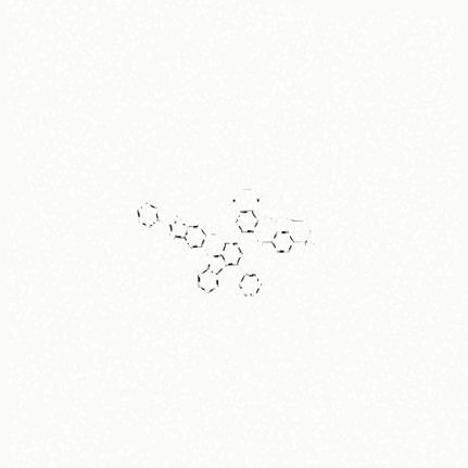 CB1c2cc3nc(-c4ccccc4)n(C)c3cc2-n2c3ccccc3c3c(-c4ccccc4)cc(-c4cc5c(cc4Nc4ccc6c(c4)C(C)(C)CCC6(C)C)C(C)(C)CCC5(C)C)c1c32